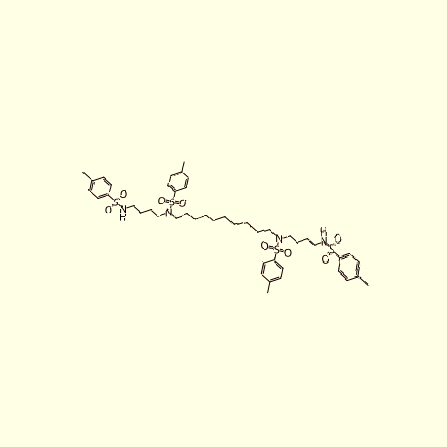 Cc1ccc(S(=O)(=O)NCCCCN(CCCCCCCCCCN(CCCCNS(=O)(=O)c2ccc(C)cc2)S(=O)(=O)c2ccc(C)cc2)S(=O)(=O)c2ccc(C)cc2)cc1